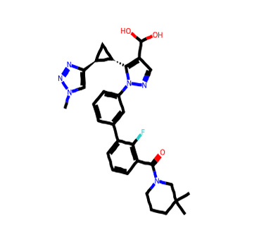 Cn1cc([C@H]2C[C@@H]2c2c(C(O)O)cnn2-c2cccc(-c3cccc(C(=O)N4CCCC(C)(C)C4)c3F)c2)nn1